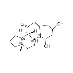 C[C@@]12CCC[C@H]1[C@@H]1C(=O)C=C3CC(O)CC(O)[C@]3(C)[C@@H]1CC2